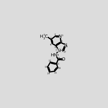 Cc1cnc2c(c1)[SH](NC(=O)c1ccccc1)C=N2